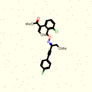 CO/C=C(/C(=O)OC)c1cccc(Cl)c1CO/N=C(/C#Cc1ccc(F)cc1)COC